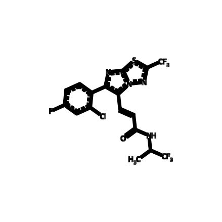 CC(NC(=O)/C=C/c1c(-c2ccc(F)cc2Cl)nc2sc(C(F)(F)F)nn12)C(F)(F)F